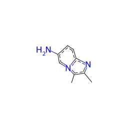 Cc1nc2ccc(N)cn2c1C